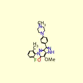 COc1c(=O)n(-c2c(C)cccc2F)nc2c(-c3ccc(N4CCN(C)CC4)cc3)n[nH]c12